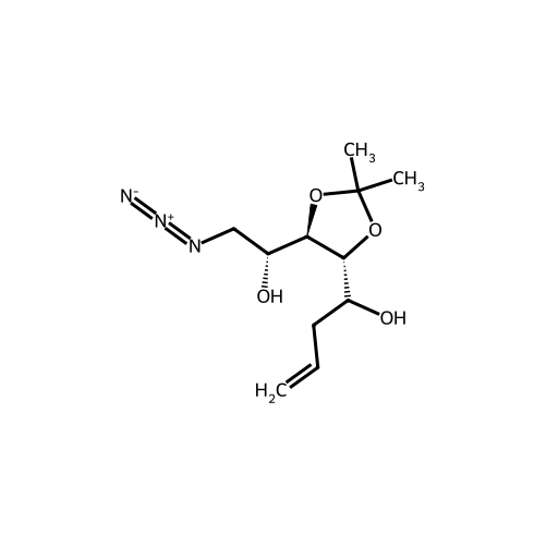 C=CCC(O)[C@H]1OC(C)(C)O[C@@H]1[C@H](O)CN=[N+]=[N-]